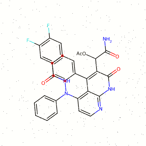 CC(=O)OC(C(N)=O)c1c(-c2ccccc2)c2c(N(NC(=O)c3ccc(F)c(F)c3)c3ccccc3)ccnc2[nH]c1=O